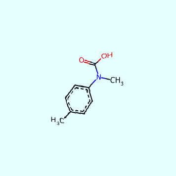 Cc1ccc(N(C)C(=O)O)cc1